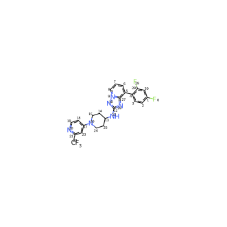 Fc1ccc(-c2cccn3nc(NC4CCN(c5ccnc(C(F)(F)F)c5)CC4)nc23)c(F)c1